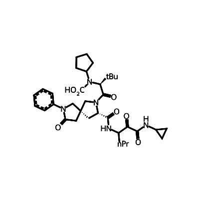 CCCC(NC(=O)[C@@H]1C[C@@]2(CC(=O)N(c3ccccc3)C2)CN1C(=O)[C@@H](N(C(=O)O)C1CCCC1)C(C)(C)C)C(=O)C(=O)NC1CC1